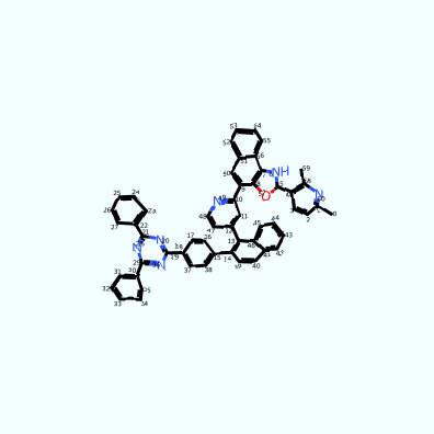 Cc1ccc(C2Nc3c(c(-c4cc(-c5c(-c6ccc(-c7nc(-c8ccccc8)nc(-c8ccccc8)n7)cc6)ccc6ccccc56)ccn4)cc4ccccc34)O2)c(C)n1